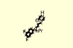 CCCN(CCCCN1CCNCC1=O)C1CCc2c(F)cc(F)cc2C1